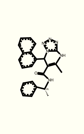 CC1=C(C(=O)N[C@H](C)c2ccccc2)C(c2cccc3ccccc23)n2nnnc2N1